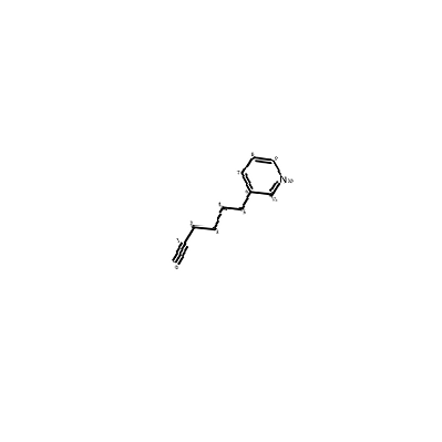 C#CCCCCc1cccnc1